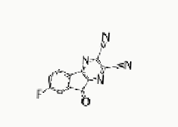 N#Cc1nc2c(nc1C#N)-c1ccc(F)cc1C2=O